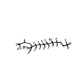 CC(SC(F)(F)C(F)(F)C(F)(F)C(F)(F)C(F)(F)C(F)(F)C(F)(F)CCC(F)(F)F)C(=O)O